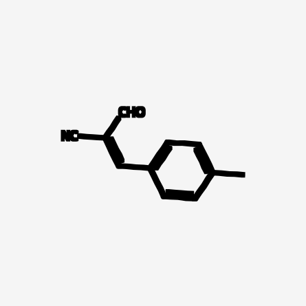 Cc1ccc(C=C(C#N)C=O)cc1